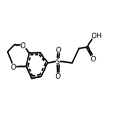 O=C(O)CCS(=O)(=O)c1ccc2c(c1)OCCO2